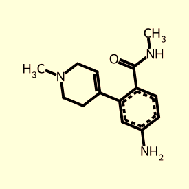 CNC(=O)c1ccc(N)cc1C1=CCN(C)CC1